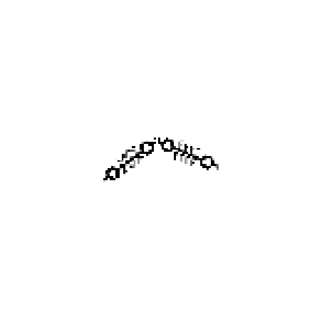 FC(F)(c1ccc(I)cc1)C(F)(F)C(F)(F)C(F)(F)c1ccc(Oc2ccc(C(F)(F)C(F)(F)C(F)(F)C(F)(F)c3ccc(I)cc3)cc2)cc1